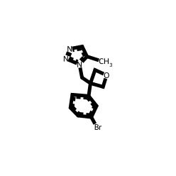 Cc1cnnn1CC1(c2cccc(Br)c2)COC1